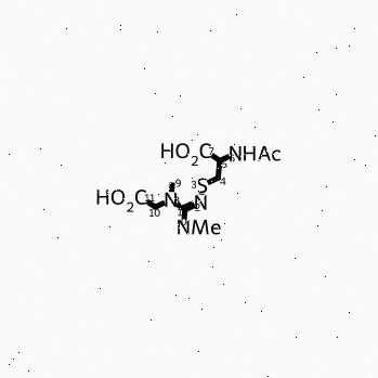 CNC(=NSCC(NC(C)=O)C(=O)O)N(C)CC(=O)O